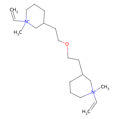 C=C[N+]1(C)CCCC(CCOCCC2CCC[N+](C)(C=C)C2)C1